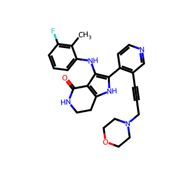 Cc1c(F)cccc1Nc1c(-c2ccncc2C#CCN2CCOCC2)[nH]c2c1C(=O)NCC2